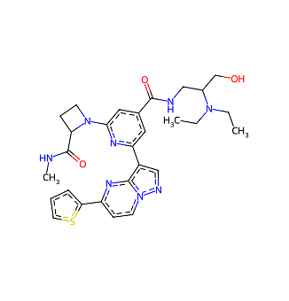 CCN(CC)C(CO)CNC(=O)c1cc(-c2cnn3ccc(-c4cccs4)nc23)nc(N2CCC2C(=O)NC)c1